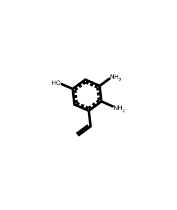 C=Cc1cc(O)cc(N)c1N